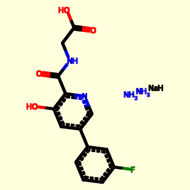 N.N.O=C(O)CNC(=O)c1ncc(-c2cccc(F)c2)cc1O.[NaH]